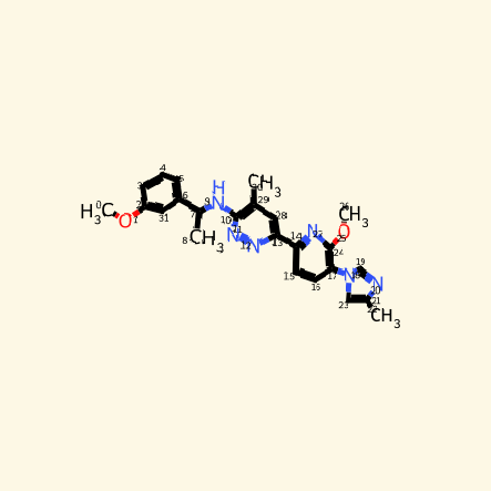 COc1cccc(C(C)Nc2nnc(-c3ccc(-n4cnc(C)c4)c(OC)n3)cc2C)c1